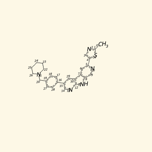 Cc1ncc(-c2cc3c(cn2)[nH]c2ncc(-c4ccc(CN5CCCCC5)cc4)cc23)s1